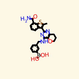 Cc1sc2c(C(N)=O)cccc2c1-c1nc2c(c(NCc3cccc(B(O)O)c3)n1)OCCC2